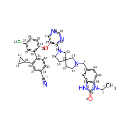 CCn1c(=O)[nH]c2cc(CN3CCC4(CCN(c5ncncc5Oc5ccc(F)cc5-c5ccc(C#N)cc5C5CC5)C4)C3)ccc21